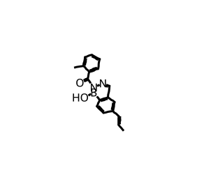 C/C=C/c1ccc2c(c1)C=NN(C(=O)c1ccccc1C)B2O